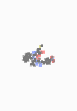 CSCC[C@H](NC(=O)CN(Cc1cccc2ccccc12)C[C@H](CC(C)C)NC(=O)NCCc1ccc([N+](=O)[O-])cc1)C(=O)O